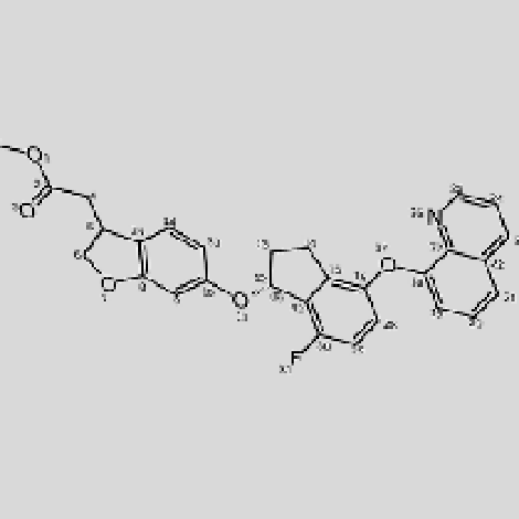 COC(=O)CC1COc2cc(O[C@@H]3CCc4c(Oc5cccc6cccnc56)ccc(F)c43)ccc21